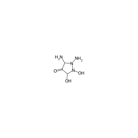 NC1C(=O)C(O)N(O)N1N